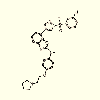 O=S(=O)(c1cccc(Cl)c1)n1cc(-c2cccc3nc(Nc4ccc(OCCN5CCCC5)cc4)nn23)cn1